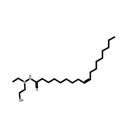 CCCCCCCC/C=C\CCCCCCCC(=O)NN(CC)CCO